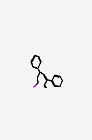 C=C/C(=C\C(CCI)C1C=CC=CC1)C1=CCCC=C1